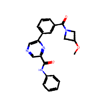 COC1CN(C(=O)c2cccc(-c3cncc(C(=O)Nc4ccccc4)n3)c2)C1